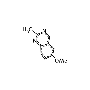 COc1ccc2nc(C)ncc2c1